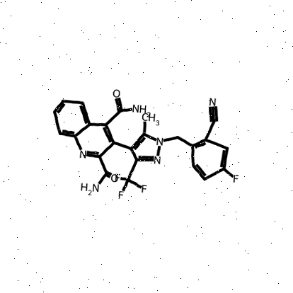 Cc1c(-c2c(C(N)=O)nc3ccccc3c2C(N)=O)c(C(F)(F)F)nn1Cc1ccc(F)cc1C#N